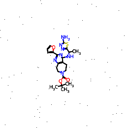 CC(Nc1nc(-c2ccco2)nc2c1CCN(C(=O)OC(C)(C)C)CC2)c1nnc(N)s1